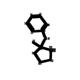 CC1(Sc2ccccc2)CCCN1